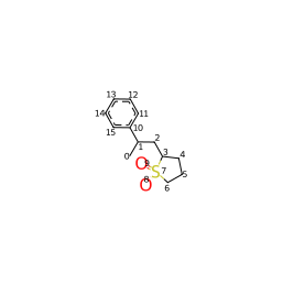 CC(CC1CCCS1(=O)=O)c1ccccc1